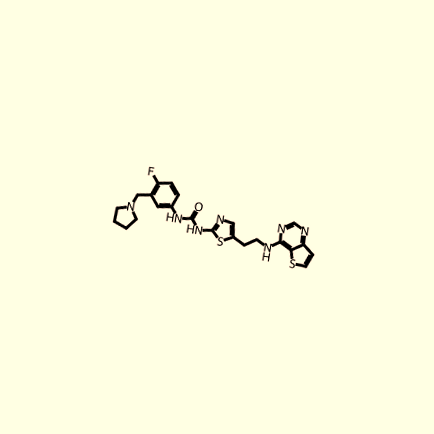 O=C(Nc1ccc(F)c(CN2CCCC2)c1)Nc1ncc(CCNc2ncnc3ccsc23)s1